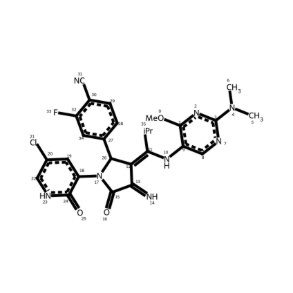 COc1nc(N(C)C)ncc1N/C(=C1\C(=N)C(=O)N(c2cc(Cl)c[nH]c2=O)C1c1ccc(C#N)c(F)c1)C(C)C